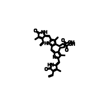 C=CC1=C(C)C(=CC2=NC(=Cc3[nH]c(C=C4NC(=O)C(C)=C4C=C)c(C)c3CCC(=O)O)C(CCC(=O)O)=C2C)NC1=O